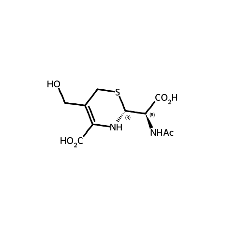 CC(=O)N[C@H](C(=O)O)[C@@H]1NC(C(=O)O)=C(CO)CS1